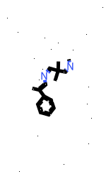 C/N=C\C(C)(C)/C=N\C=C(/C)c1ccccc1